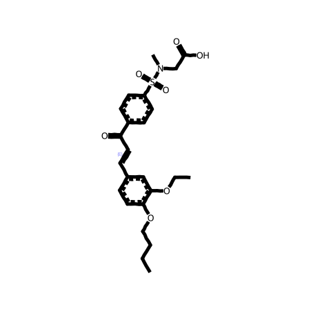 CCCCOc1ccc(/C=C/C(=O)c2ccc(S(=O)(=O)N(C)CC(=O)O)cc2)cc1OCC